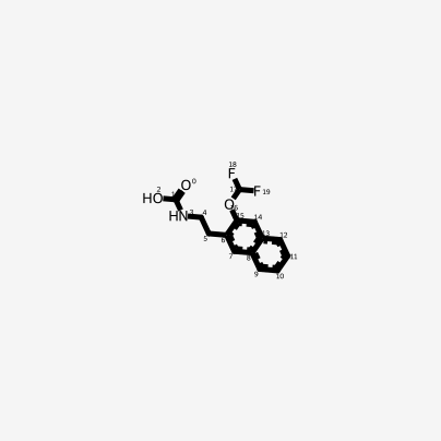 O=C(O)NCCc1cc2ccccc2cc1OC(F)F